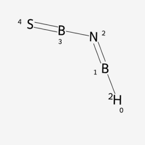 [2H]/B=N/B=S